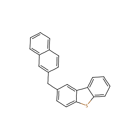 c1ccc2cc(Cc3ccc4sc5ccccc5c4c3)ccc2c1